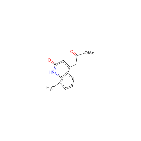 COC(=O)Cc1cc(=O)[nH]c2c(C)cccc12